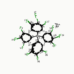 Fc1cc([B-](c2cc(F)c(F)c(F)c2)(c2cc(F)c(F)c(F)c2)c2cc(F)c(F)c(F)c2)cc(F)c1F.[Tl+]